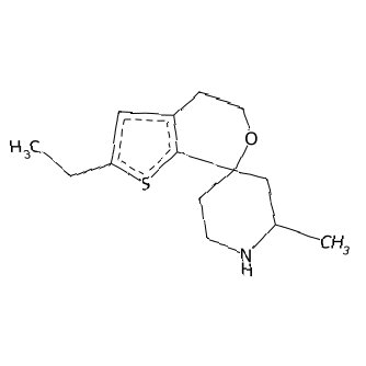 CCc1cc2c(s1)C1(CCNC(C)C1)OCC2